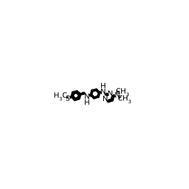 CSc1ccc(CNC2CCC(Nc3nccc(N(C)C)n3)CC2)cc1